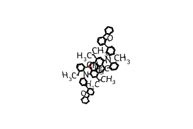 CCc1cccc(CC)c1N(c1cccc(-c2cccc3c2oc2ccccc23)c1)c1cc(C(C)C)c2ccc3c(N(c4cccc(-c5cccc6c5oc5ccccc56)c4)c4c(C)cccc4C)cc(C(C)C)c4ccc1c2c43